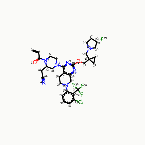 C=CC(=O)N1CCN(c2nc(OCC3(CN4CC[C@H](F)C4)CC3)nc3c2CCN(c2cccc(Cl)c2C(F)(F)F)C3)CC1CC#N